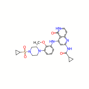 COc1c(Nc2cc(NC(=O)C3CC3)nc3cc[nH]c(=O)c23)cccc1N1CCN(S(=O)(=O)C2CC2)CC1